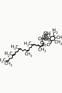 CC(=O)OCC1O[C@H](OP(=O)(O)OP(=O)(O)OC/C=C(/C)CC/C=C(/C)CC/C=C(/C)CC/C=C(/C)CC/C=C(\C)CCC=C(C)C)C(C)[C@@H](C)[C@@H]1C